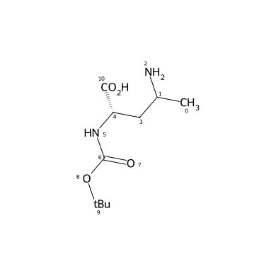 CC(N)C[C@H](NC(=O)OC(C)(C)C)C(=O)O